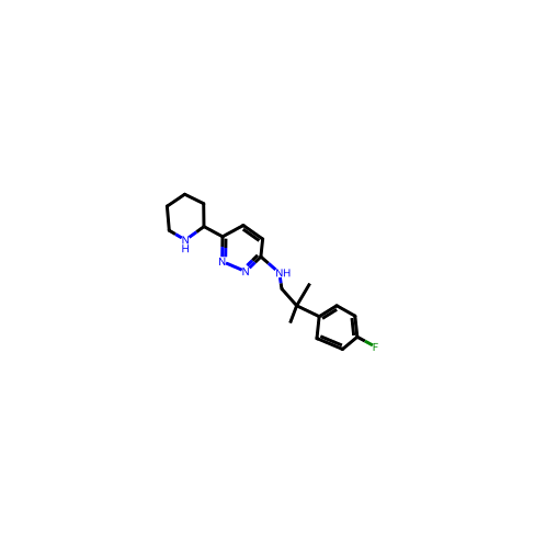 CC(C)(CNc1ccc(C2CCCCN2)nn1)c1ccc(F)cc1